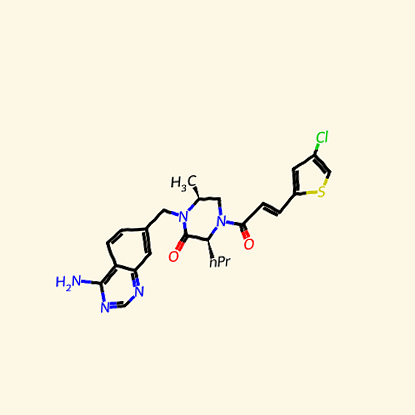 CCC[C@H]1C(=O)N(Cc2ccc3c(N)ncnc3c2)[C@@H](C)CN1C(=O)C=Cc1cc(Cl)cs1